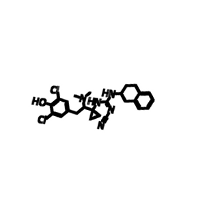 CN(C)C(Cc1cc(Cl)c(O)c(Cl)c1)C1(NC(=NC#N)NC2CCc3ccccc3C2)CC1